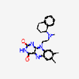 Cc1cc2nc3c(=O)[nH]c(=O)nc-3n(CCN(C)C3CCCc4ccccc43)c2cc1C